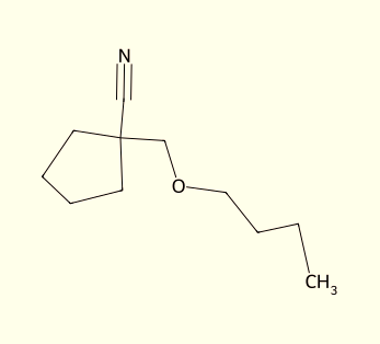 CCCCOCC1(C#N)CCCC1